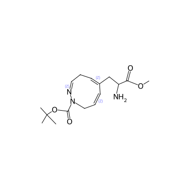 COC(=O)C(N)CC1=C/C/C=N\N(C(=O)OC(C)(C)C)C/C=C\1